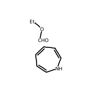 C1=CC=CNC=C1.CCOC=O